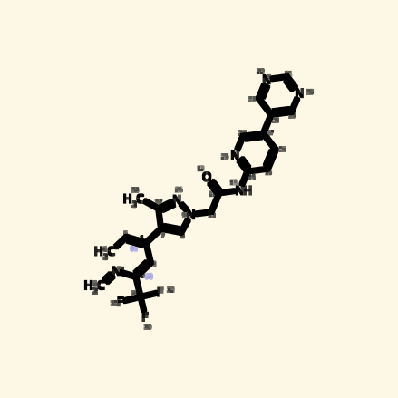 C=N/C(=C\C(=C/C)c1cn(CC(=O)Nc2ccc(-c3cncnc3)cn2)nc1C)C(F)(F)F